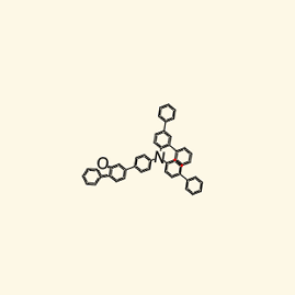 c1ccc(-c2ccc(N(c3ccc(-c4ccc5c(c4)oc4ccccc45)cc3)c3ccc(-c4ccccc4)cc3-c3ccccc3)cc2)cc1